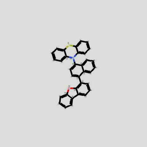 c1ccc2c(c1)Sc1ccccc1N2c1ccc(-c2cccc3c2oc2ccccc23)c2ccccc12